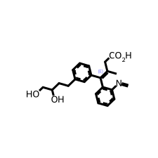 C=Nc1ccccc1/C(=C(\C)CC(=O)O)c1cccc(CCC(O)CO)c1